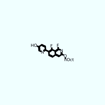 CCCCCCCCOc1cc2ccc(-c3ccc(O)cn3)c(F)c2c(F)n1